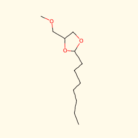 CCCCCCCC1OCC(COC)O1